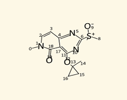 Cn1ccc2nc([S+](C)[O-])nc(OC3(C)CC3)c2c1=O